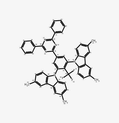 Cc1ccc2c(c1)c1cc(C)ccc1n2-c1cc(-c2nc(-c3ccccc3)nc(-c3ccccc3)n2)cc(-n2c3ccc(C)cc3c3cc(C)ccc32)c1C(F)(F)F